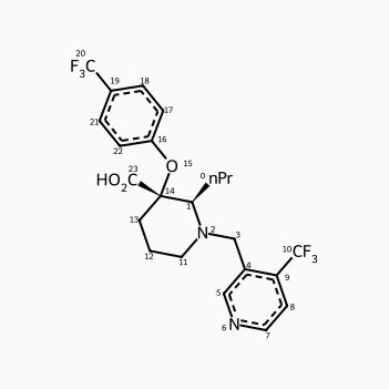 CCC[C@H]1N(Cc2cnccc2C(F)(F)F)CCC[C@@]1(Oc1ccc(C(F)(F)F)cc1)C(=O)O